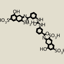 O=C(Nc1cccc(C(=O)N=C2Cc3c(O)cc(S(=O)(=O)O)cc3C=C2S(=O)(=O)O)c1)Nc1cccc(C(=O)N=C2Cc3c(O)cc(S(=O)(=O)O)cc3C=C2S(=O)(=O)O)c1